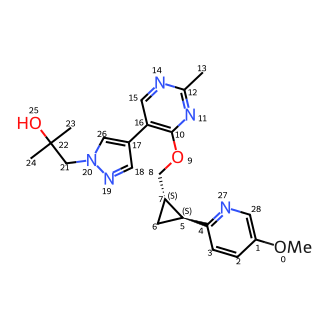 COc1ccc([C@H]2C[C@@H]2COc2nc(C)ncc2-c2cnn(CC(C)(C)O)c2)nc1